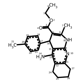 CCOC(=O)C1=C(C)Nc2nc3c(c(N)c2C1c1ccc(C)cc1)CCCC3